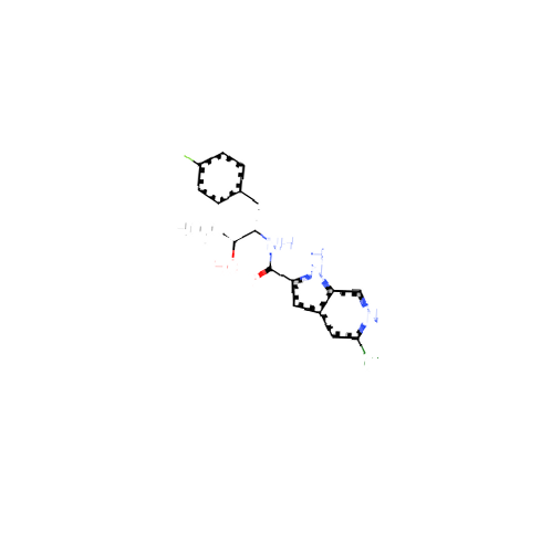 O=C(N[C@@H](Cc1ccc(F)cc1)[C@@H](O)C(=O)O)c1cc2cc(Cl)ncc2[nH]1